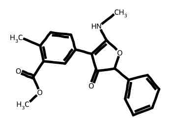 CNC1=C(c2ccc(C)c(C(=O)OC)c2)C(=O)C(c2ccccc2)O1